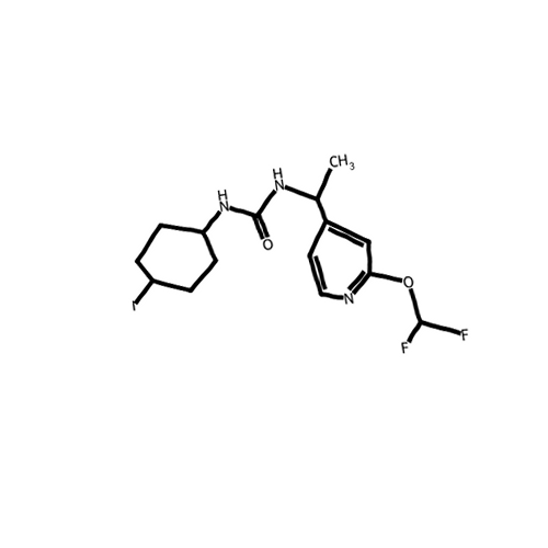 CC(NC(=O)NC1CCC(I)CC1)c1ccnc(OC(F)F)c1